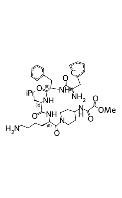 COC(=O)C(=O)NC1CCN(C(=O)[C@@H](CCCCN)NC(=O)[C@@H](CC(C)C)NC(=O)[C@@H](Cc2ccccc2)NC(=O)[C@H](N)Cc2ccccc2)CC1